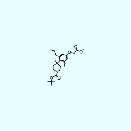 CCCc1cc(OCC(=O)OC)cc(F)c1C1(C)CCN(C(=O)OC(C)(C)C)CC1